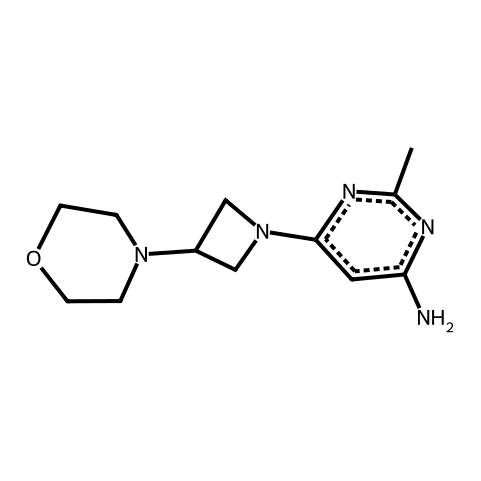 Cc1nc(N)cc(N2CC(N3CCOCC3)C2)n1